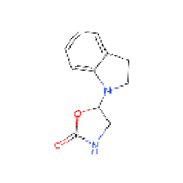 O=C1NCC(N2CCc3ccccc32)O1